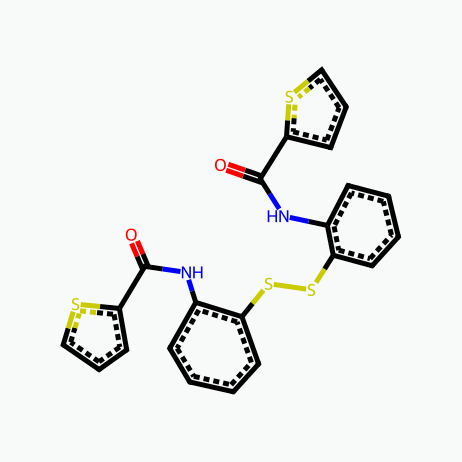 O=C(Nc1ccccc1SSc1ccccc1NC(=O)c1cccs1)c1cccs1